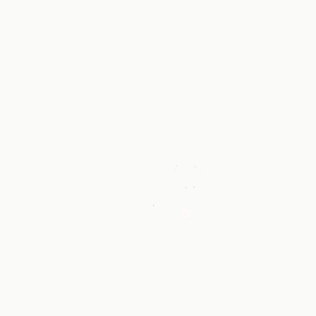 C[S+]([O-])c1ccc(C2=C(c3ccc(C(F)(F)F)cc3)CCC2)cc1